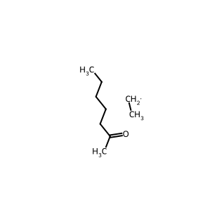 CCCCCC(C)=O.[CH2]C